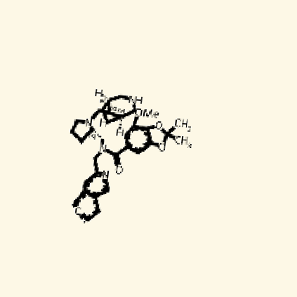 COc1cc(C(=O)N(Cc2cc3ccccc3cn2)C[C@@H]2CCCN2C[C@@H]2[C@@H]3CC[C@H]2CNC3)cc2c1OC(C)(C)O2